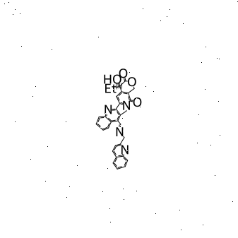 CC[C@@]1(O)C(=O)OCc2c1cc1n(c2=O)Cc2c-1nc1ccccc1c2C=NCc1ccc2ccccc2n1